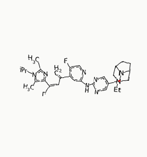 C=C(/C=C(/F)c1nc(C)n(C(C)C)c1C)c1cc(Nc2ncc(CN3C4CCC3CN(CC)C4)cn2)ncc1F